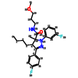 CCCCC1C(c2ccc(F)cc2)=NN(c2cccc(F)c2)C1(C)C(=O)NCCCOC